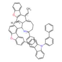 C/C=C(/C1=C/CC/C(c2ccccc2)=N\C(c2cccc3oc4ccc(-c5ccc6c(c5)c5ccccc5n6-c5cccc(-c6ccccc6)c5)cc4c23)C1CC)c1c(C)oc2ccccc12